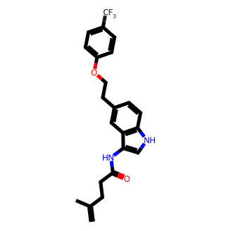 C=C(C)CCC(=O)Nc1c[nH]c2ccc(CCOc3ccc(C(F)(F)F)cc3)cc12